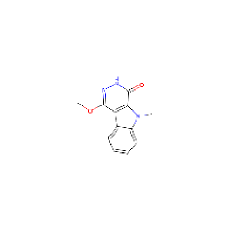 COc1n[nH]c(=O)c2c1c1ccccc1n2C